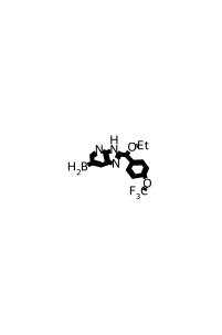 Bc1cnc2[nH]c(C(OCC)c3ccc(OC(F)(F)F)cc3)nc2c1